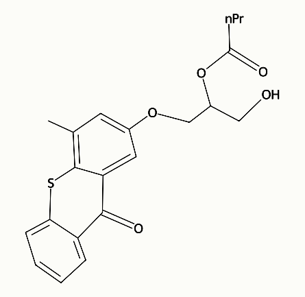 CCCC(=O)OC(CO)COc1cc(C)c2sc3ccccc3c(=O)c2c1